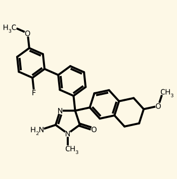 COc1ccc(F)c(-c2cccc(C3(c4ccc5c(c4)CCC(OC)C5)N=C(N)N(C)C3=O)c2)c1